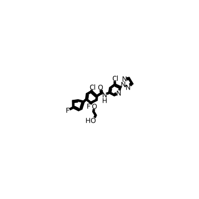 O=C(Nc1cnc(-n2nccn2)c(Cl)c1)C1=C(Cl)C=C(c2ccc(F)cc2)C(F)(OCCO)C1